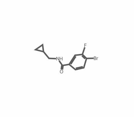 O=C(NCC1CC1)c1ccc(Br)c(F)c1